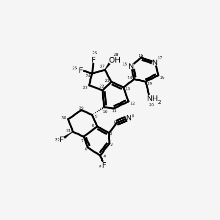 N#Cc1cc(F)cc2c1[C@@H](c1ccc(-c3ncncc3N)c3c1CC(F)(F)[C@H]3O)CC[C@@H]2F